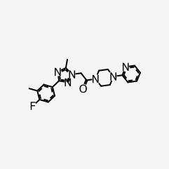 Cc1cc(-c2nc(C)n(CC(=O)N3CCN(c4ccccn4)CC3)n2)ccc1F